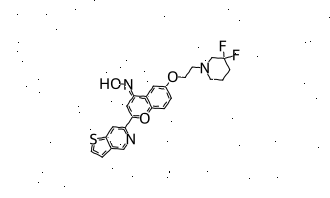 ON=c1cc(-c2cc3sccc3cn2)oc2ccc(OCCN3CCCC(F)(F)C3)cc12